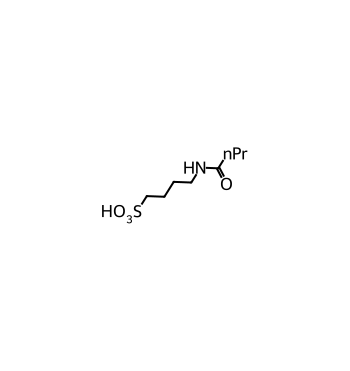 CCCC(=O)NCCCCS(=O)(=O)O